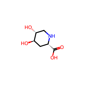 O=C(O)[C@@H]1C[C@@H](O)[C@H](O)CN1